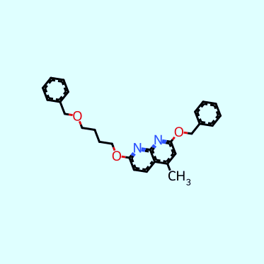 Cc1cc(OCc2ccccc2)nc2nc(OCCCCOCc3ccccc3)ccc12